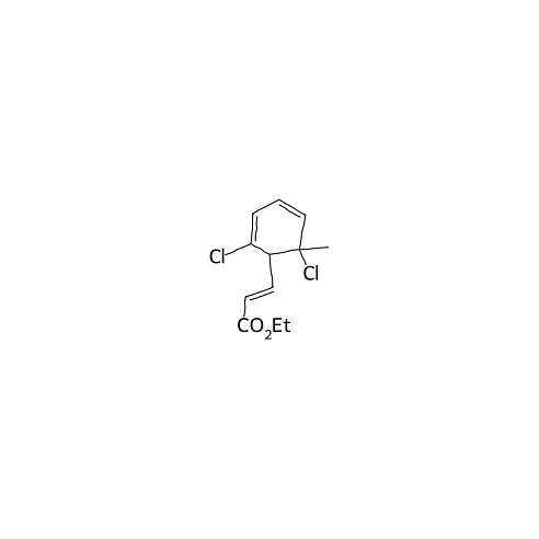 CCOC(=O)/C=C/C1C(Cl)=CC=CC1(C)Cl